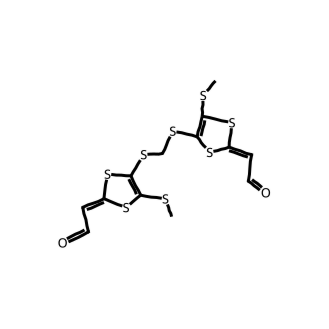 CSC1=C(SCSC2=C(SC)S/C(=C\C=O)S2)S/C(=C\C=O)S1